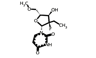 CC[C@@]1(F)[C@H](O)[C@@H](COC)O[C@H]1n1ccc(=O)[nH]c1=O